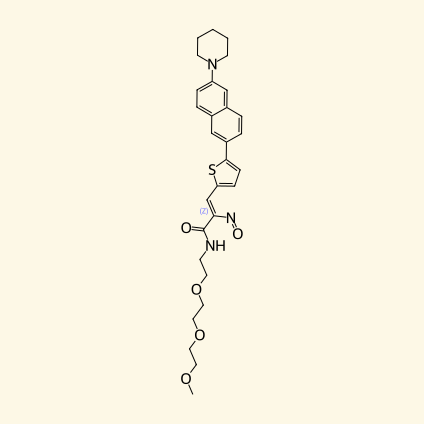 COCCOCCOCCNC(=O)/C(=C/c1ccc(-c2ccc3cc(N4CCCCC4)ccc3c2)s1)N=O